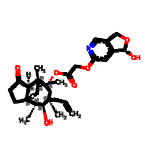 C=C[C@]1(C)C[C@@H](OC(=O)COc2cc3c(cn2)COB3O)[C@]2(C)[C@H](C)CC[C@]3(CCC(=O)[C@H]32)[C@@H](C)[C@@H]1O